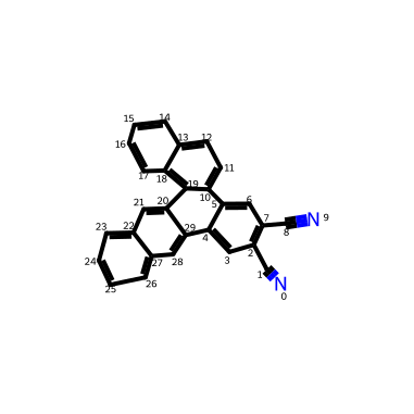 N#Cc1cc2c(cc1C#N)c1ccc3ccccc3c1c1cc3ccccc3cc21